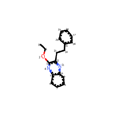 CCOc1nc2ccccc2nc1CCc1ccccc1